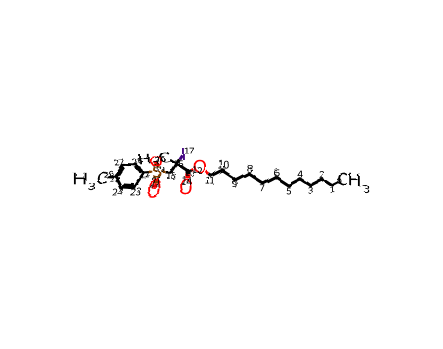 CCCCCCCCCCCCOC(=O)C(C)(I)CS(=O)(=O)c1ccc(C)cc1